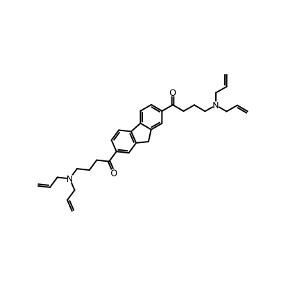 C=CCN(CC=C)CCCC(=O)c1ccc2c(c1)Cc1cc(C(=O)CCCN(CC=C)CC=C)ccc1-2